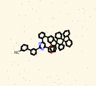 N#Cc1cccc(-c2cccc(-c3nc(-c4ccccc4)cc(-c4ccccc4-c4ccc5c(c4)-c4ccccc4C54c5ccccc5C5(c6ccccc6-c6ccccc65)c5ccccc54)n3)c2)c1